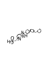 O=C(O)Cc1ccc2nc(-c3ccc(OCc4ccccc4)cc3)[nH]c2n1